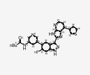 CCCCC(=O)Nc1cncc(-c2cc3c(-c4nc5c(-c6ccsc6)ccnc5[nH]4)n[nH]c3cc2F)c1